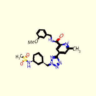 COc1cccc(CNC(=O)c2cc(-c3nnn(C[C@@H]4CCC[C@@H](NS(C)(=O)=O)C4)n3)cc(C)n2)c1